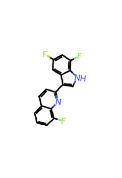 Fc1cc(F)c2[nH]cc(-c3ccc4cccc(F)c4n3)c2c1